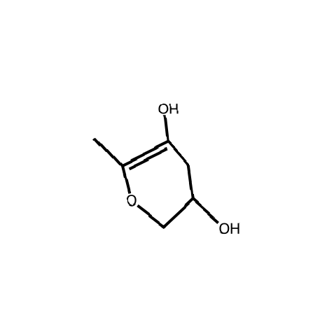 CC1=C(O)CC(O)CO1